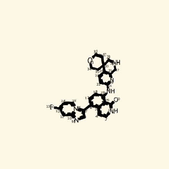 O=c1[nH]ccc2c(-c3cnc4cc(F)ccn34)ccc(Nc3ccc4c(n3)CNCC43CCOCC3)c12